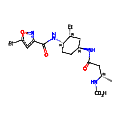 CCc1cc(C(=O)N[C@H]2CC[C@H](NC(=O)C[C@H](C)NC(=O)O)C[C@H]2CC)no1